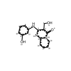 O=c1c(CO)c(Nc2cccc(O)c2)nc2ccccn12